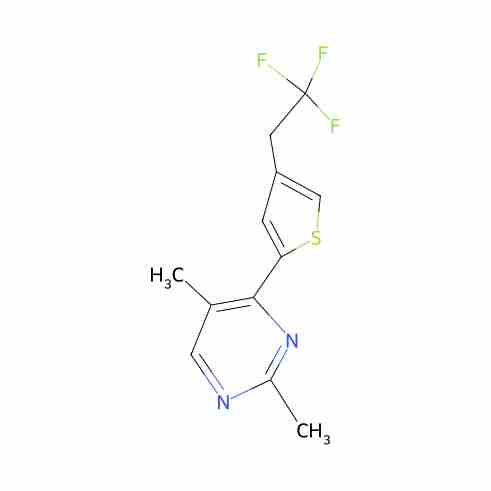 Cc1ncc(C)c(-c2cc(CC(F)(F)F)cs2)n1